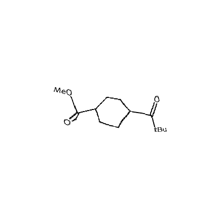 COC(=O)C1CCC(C(=O)C(C)(C)C)CC1